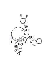 CC1(S(=O)(=O)NC(=O)[C@@]23C[C@H]2/C=C\CCCCC[C@H](Nc2ccc(F)c(F)c2)C(=O)N2C[C@H](Oc4nccc5ccccc45)C[C@H]2C(=O)N3)CC1